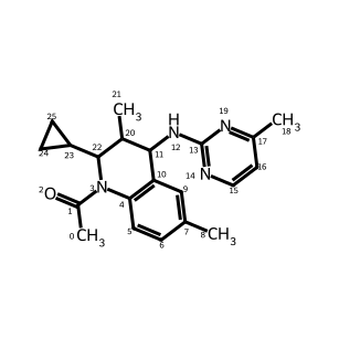 CC(=O)N1c2ccc(C)cc2C(Nc2nccc(C)n2)C(C)C1C1CC1